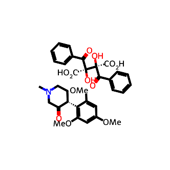 COc1cc(OC)c([C@H]2CCN(C)CC2=O)c(OC)c1.O=C(O)[C@](O)(C(=O)c1ccccc1)[C@](O)(C(=O)O)C(=O)c1ccccc1